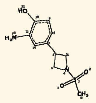 CS(=O)(=O)N1CC(c2ccc(O)c(N)c2)C1